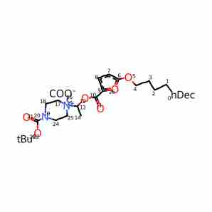 CCCCCCCCCCCCCCOc1ccc(C(=O)OC(C)[N+]2(C(=O)[O-])CCN(C(=O)OC(C)(C)C)CC2)o1